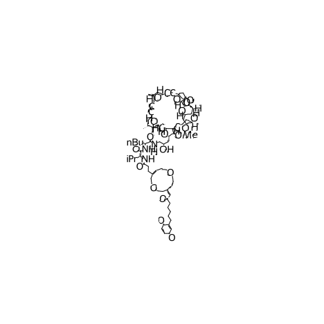 C=C1C[C@@H]2CC[C@@]34CC5OC6C(O[C@H]7CC[C@H](CC(=O)C[C@@H]8[C@@H](OC)[C@@H](C[C@H](O)CNC(=O)[C@H](CCCC)NC(=O)[C@@H](NC(=O)CC/C9=C/CCOCCC/C(=C/C(=O)CCCCCC%10=CC(=O)C=CC%10=O)CCOCC9)C(C)C)O[C@H]8C[C@H]8O[C@@H](CC[C@@H]1O2)C[C@@H](C)C8=C)O[C@@H]7[C@@H]6O3)[C@H]5O4